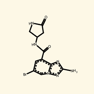 Nc1nc2c(C(=O)NC3CNC(=O)C3)cc(Br)cn2n1